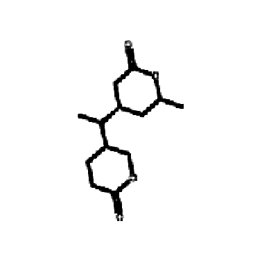 CC1C[C@@H](C(C)C2CCC(=O)OC2)CC(=O)O1